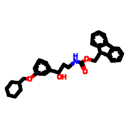 O=C(NCC[C@@H](O)c1cccc(OCC2CCCCC2)c1)OCC1c2ccccc2-c2ccccc21